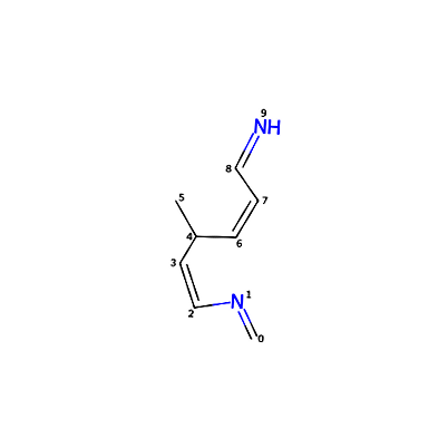 C=N/C=C\C(C)/C=C\C=N